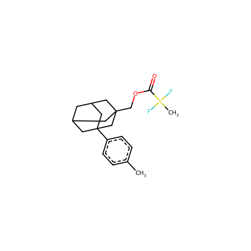 Cc1ccc(C23CC4CC(CC(COC(=O)S(C)(F)F)(C4)C2)C3)cc1